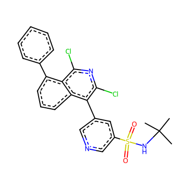 CC(C)(C)NS(=O)(=O)c1cncc(-c2c(Cl)nc(Cl)c3c(-c4ccccc4)cccc23)c1